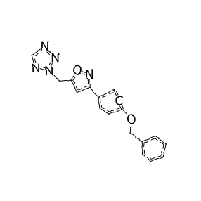 c1ccc(COc2ccc(-c3cc(Cn4ncnn4)on3)cc2)cc1